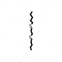 CCCCCSCCCSCCCCC